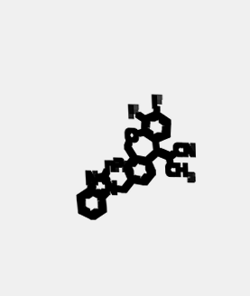 CCCc1nc2ccccc2n1Cc1ccc2c(c1)COc1c(ccc(F)c1F)/C2=C(/C)C#N